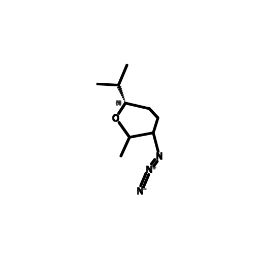 CC1O[C@H](C(C)C)CCC1N=[N+]=[N-]